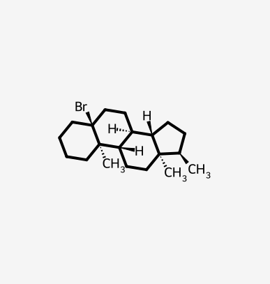 C[C@@H]1CC[C@H]2[C@@H]3CC[C@@]4(Br)CCCC[C@]4(C)[C@H]3CC[C@]12C